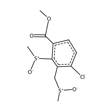 COC(=O)c1ccc(Cl)c(C[S+](C)[O-])c1[S+](C)[O-]